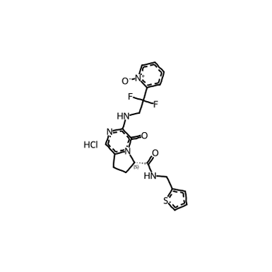 Cl.O=C(NCc1cccs1)[C@@H]1CCc2cnc(NCC(F)(F)c3cccc[n+]3[O-])c(=O)n21